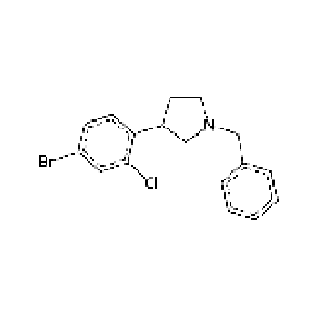 Clc1cc(Br)ccc1C1CCN(Cc2ccccc2)C1